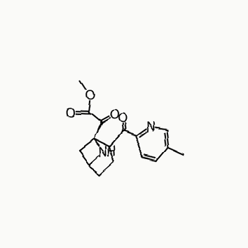 COC(=O)C(=O)[C@@]12CC(CCC1C(=O)c1ccc(C)cn1)N2